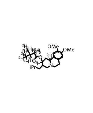 [2H]C1(OC(=O)[C@@]([2H])(N)C([2H])(C([2H])([2H])[2H])C([2H])([2H])[2H])CC2([2H])c3cc(OC)c(OC)cc3CCN2CC1CC(C)C